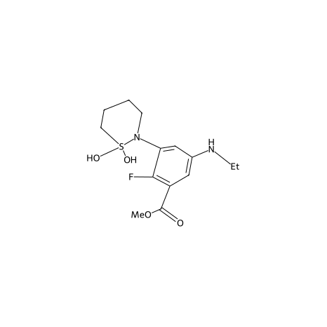 CCNc1cc(C(=O)OC)c(F)c(N2CCCCS2(O)O)c1